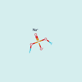 O=P([O-])(OF)OF.[Na+]